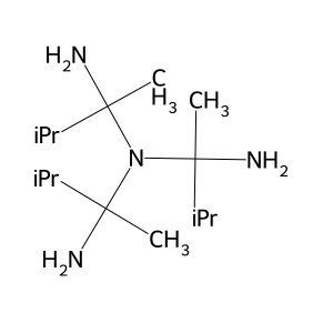 CC(C)C(C)(N)N(C(C)(N)C(C)C)C(C)(N)C(C)C